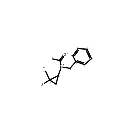 CC(=O)N(Cc1ccccc1)C1CC1(F)Cl